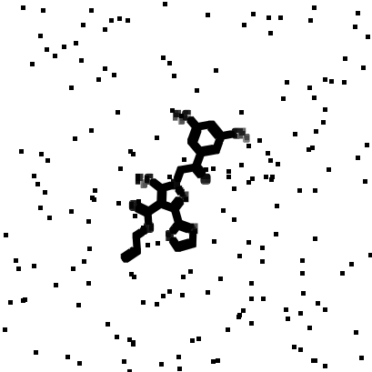 C=CCOC(=O)c1c(-c2nccs2)nn(CC(=O)c2cc(C(F)(F)F)cc(C(F)(F)F)c2)c1C(F)(F)F